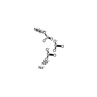 O=[Si]([O-])[O-].O=[Si]([O-])[O-].O=[Si]([O-])[O-].[Na+].[Na+].[Na+].[Na+].[Na+].[Na+]